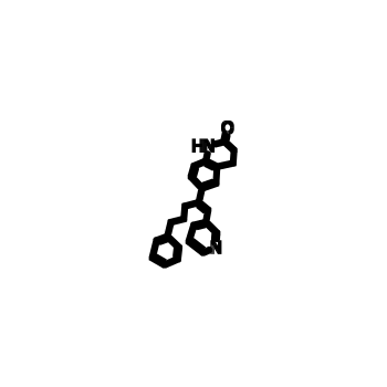 O=C1CCc2cc(C(=Cc3cccnc3)CCCc3ccccc3)ccc2N1